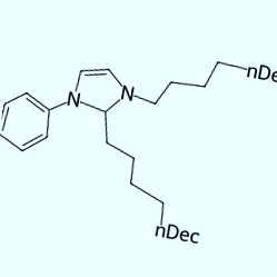 CCCCCCCCCCCCCCC1N(CCCCCCCCCCCCCC)C=CN1c1ccccc1